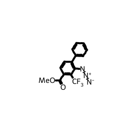 COC(=O)c1ccc(-c2ccccc2)c(N=[N+]=[N-])c1C(F)(F)F